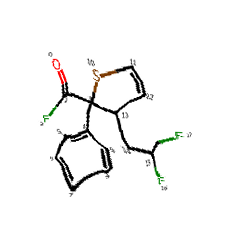 O=C(F)C1(c2ccccc2)SC=CC1CC(F)F